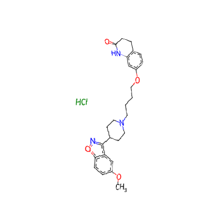 COc1ccc2onc(C3CCN(CCCCOc4ccc5c(c4)NC(=O)CC5)CC3)c2c1.Cl